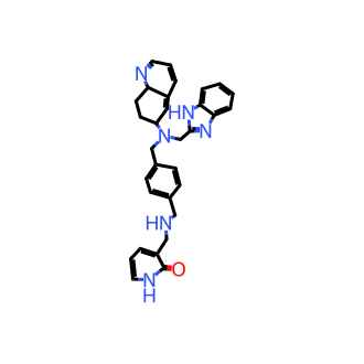 O=c1[nH]cccc1CNCc1ccc(CN(Cc2nc3ccccc3[nH]2)C2C=C3C=CC=NC3CC2)cc1